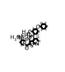 Cc1cc(Oc2ccccc2)ccc1N1C(=O)Nc2c(C(=O)N3CC[C@H](N(C)C)C3)sc3nccc1c23